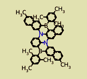 Cc1cc(C)c(B2c3cc4cc(C)ccc4cc3N3c4cc5ccccc5c5c4N(c4cc6ccc(C)cc6cc4B5c4c(C)cc(C)cc4C)c4cccc2c43)c(C)c1